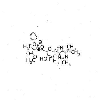 COC(=O)[C@@H](C)NP(=O)(OC[C@H]1O[C@@H](n2cnc3c(N(C)C)nc(C)nc32)[C@](C)(F)[C@@H]1O)Oc1ccccc1